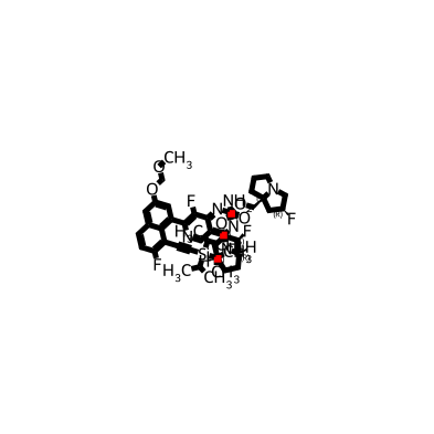 COCOc1cc(-c2ncc3c(N4[C@H]5CC[C@@H]4[C@H](F)[C@H](OC(N)=O)C5)nc(OC[C@@]45CCCN4C[C@H](F)C5)nc3c2F)c2c(C#C[Si](C(C)C)(C(C)C)C(C)C)c(F)ccc2c1